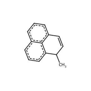 C[C]1C=Cc2cccc3cccc1c23